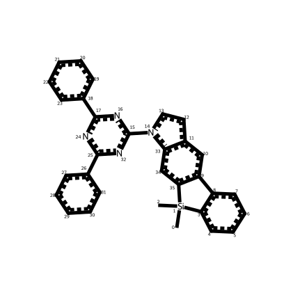 C[Si]1(C)c2ccccc2-c2cc3ccn(-c4nc(-c5ccccc5)nc(-c5ccccc5)n4)c3cc21